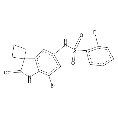 O=C1Nc2c(Br)cc(NS(=O)(=O)c3ccccc3F)cc2C12CCC2